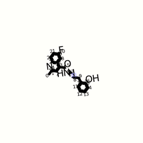 Cc1cc(C(=O)N/N=C/Cc2ccccc2O)c2cc(F)ccc2n1